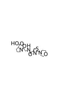 O=C(NCC(=O)N1CCCC1C(=O)O)c1csc(N2CCOCC2)n1